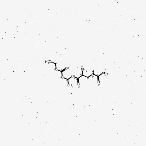 CCOC(=O)OC(C)OC(=O)[C@@H](N)CNC(N)=O